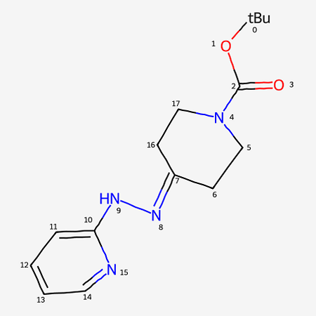 CC(C)(C)OC(=O)N1CCC(=NNc2ccccn2)CC1